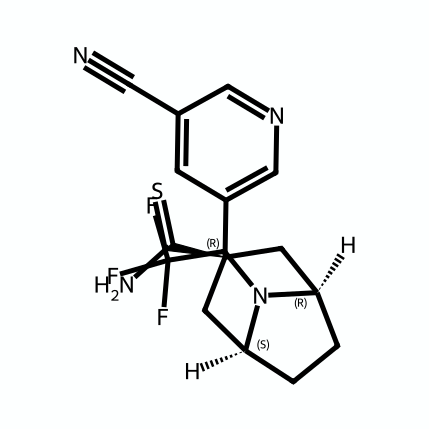 N#Cc1cncc([C@]2(C(N)=S)C[C@H]3CC[C@@H](C2)N3CC(F)(F)F)c1